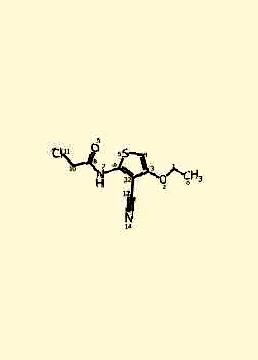 CCOc1csc(NC(=O)CCl)c1C#N